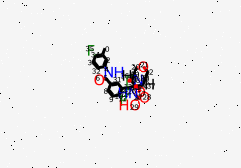 Cc1cc(NC(=O)c2ccc(F)c(C(F)(F)C(=O)N3[C@@H]4COC[C@H]3CC(NC(=O)O)C4)c2)ccc1F